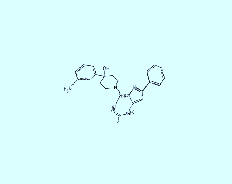 Cc1nc(N2CCC(O)(c3cccc(C(F)(F)F)c3)CC2)c2nc(-c3ccccc3)cc-2[nH]1